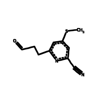 CSc1cc(C#N)nc(CCC=O)c1